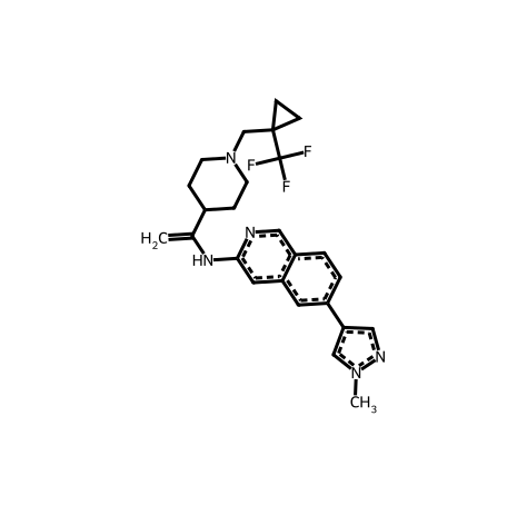 C=C(Nc1cc2cc(-c3cnn(C)c3)ccc2cn1)C1CCN(CC2(C(F)(F)F)CC2)CC1